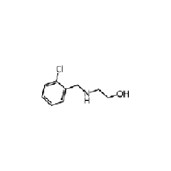 OCCNCc1ccccc1Cl